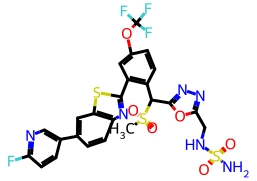 CS(=O)(=O)C(c1nnc(CNS(N)(=O)=O)o1)c1ccc(OC(F)(F)F)cc1-c1nc2ccc(-c3ccc(F)nc3)cc2s1